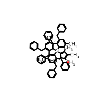 CC1=C(C)C(C)C([Si](c2cc(C)cc(Cc3ccccc3)c2Cc2ccccc2)(c2cc(C)cc(Cc3ccccc3)c2Cc2ccccc2)c2cc(C)cc(Cc3ccccc3)c2Cc2ccccc2)=C1C